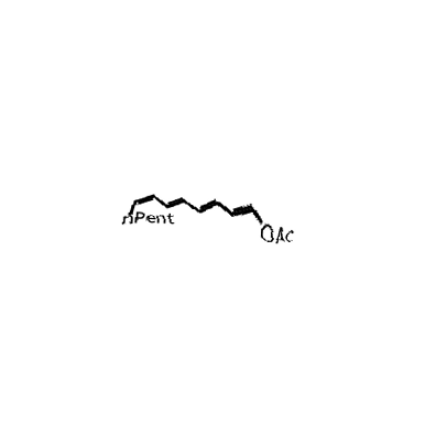 CCCCC\C=C/C=C/C=C/C=C/OC(C)=O